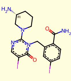 NC(=O)c1ccc(I)cc1Cn1c(N2CCC[C@@H](N)C2)ncc(I)c1=O